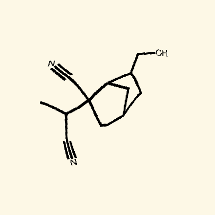 CC(C#N)C1(C#N)CC2CC(CO)C1C2